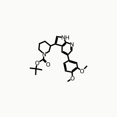 COc1ccc(-c2cnc3[nH]cc(C4CCCN(C(=O)OC(C)(C)C)C4)c3c2)cc1OC